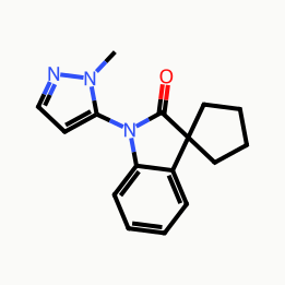 Cn1nccc1N1C(=O)C2(CCCC2)c2ccccc21